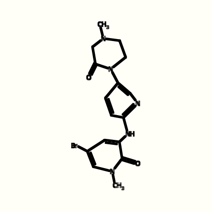 CN1CCN(c2ccc(Nc3cc(Br)cn(C)c3=O)nc2)C(=O)C1